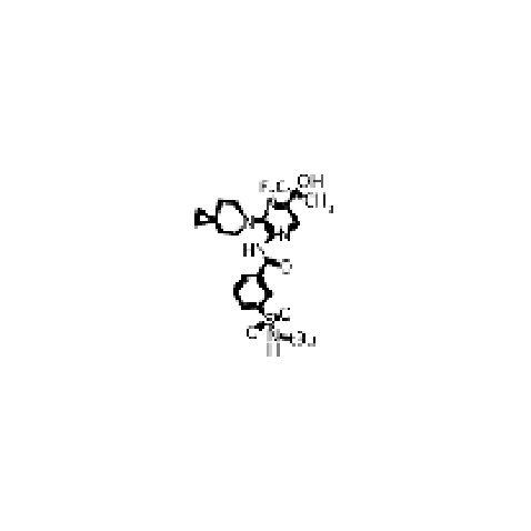 CC(C)(C)NS(=O)(=O)c1cccc(C(=O)Nc2ncc([C@@](C)(O)C(F)(F)F)nc2N2CCC3(CC2)CC3)c1